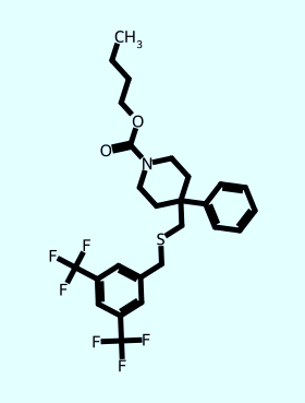 CCCCOC(=O)N1CCC(CSCc2cc(C(F)(F)F)cc(C(F)(F)F)c2)(c2ccccc2)CC1